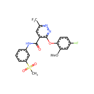 COc1cc(F)ccc1Oc1nnc(C(F)(F)F)cc1C(=O)Nc1cccc(S(C)(=O)=O)c1